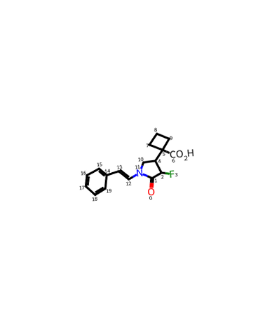 O=C1C(F)C(C2(C(=O)O)CCC2)CN1C=Cc1ccccc1